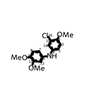 COc1ccc(Nc2ccc(OC)c(OC)c2)cc1Cl